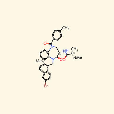 CN[C@@H](C)C(=O)N[C@H]1CN(C(=O)c2ccc(C)cc2)c2ccccc2N(Cc2c(OC)ccc3cc(Br)ccc23)C1=O